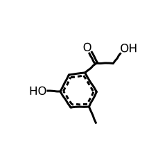 Cc1cc(O)cc(C(=O)CO)c1